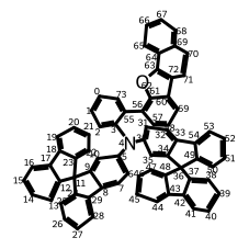 c1ccc(N(c2ccc3c(c2)C2(c4ccccc4-c4ccccc42)c2ccccc2-3)c2ccc3c(c2)C2(c4ccccc4-c4ccccc42)c2ccccc2-3)c(-c2cccc3c2oc2c4ccccc4ccc32)c1